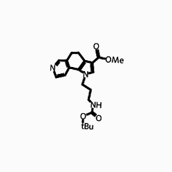 COC(=O)c1cn(CCCNC(=O)OC(C)(C)C)c2c1CCc1cnccc1-2